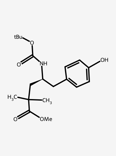 COC(=O)C(C)(C)C[C@H](Cc1ccc(O)cc1)NC(=O)OC(C)(C)C